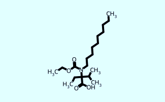 CCCCCCCCCCN(C(=O)OCC)C(CC)(C(=O)O)C(C)C